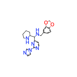 c1cn(-c2nccc(C(NCc3ccc4c(c3)OCO4)C3CCCCN3)n2)cn1